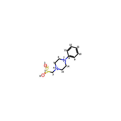 O=[SH](=O)CN1CCN(c2cc[c]cc2)CC1